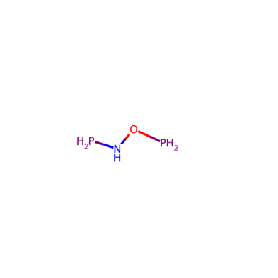 PNOP